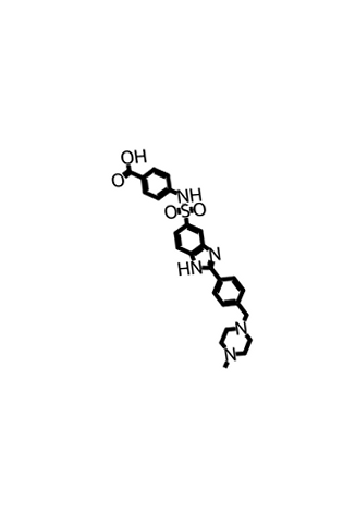 CN1CCN(Cc2ccc(-c3nc4cc(S(=O)(=O)Nc5ccc(C(=O)O)cc5)ccc4[nH]3)cc2)CC1